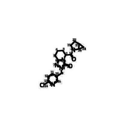 O=C(C1CCCc2nn(Cc3ccc(Cl)nc3)c(=O)n21)N1CCC2CC21